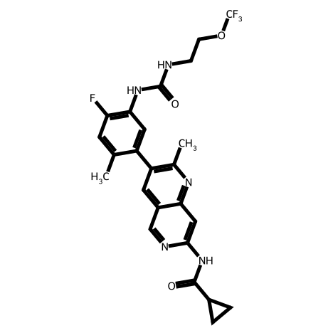 Cc1cc(F)c(NC(=O)NCCOC(F)(F)F)cc1-c1cc2cnc(NC(=O)C3CC3)cc2nc1C